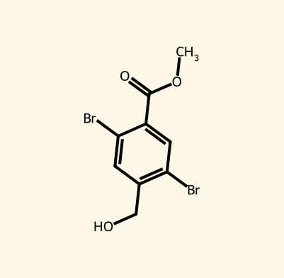 COC(=O)c1cc(Br)c(CO)cc1Br